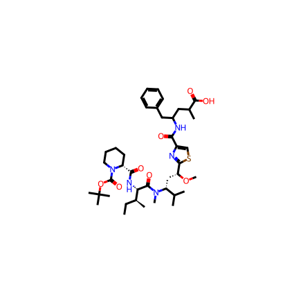 CC[C@H](C)[C@H](NC(=O)[C@H]1CCCCN1C(=O)OC(C)(C)C)C(=O)N(C)[C@H](C[C@@H](OC)c1nc(C(=O)NC(Cc2ccccc2)CC(C)C(=O)O)cs1)C(C)C